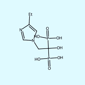 CCc1cn(CC(O)(P(=O)(O)O)P(=O)(O)O)cn1